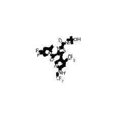 CC1CC(F)(F)CN1C(=O)c1nc(C(=O)NCC(C)(C)O)sc1-c1cnc(NCC(F)(F)F)cc1C(F)(F)F